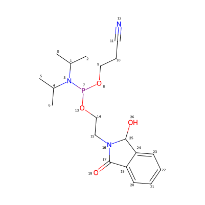 CC(C)N(C(C)C)P(OCCC#N)OCCN1C(=O)c2ccccc2C1O